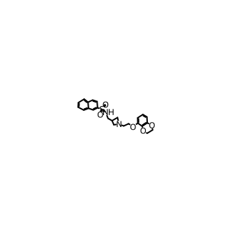 O=S(=O)(NCC1CN(CCOc2cccc3c2OCCO3)C1)c1ccc2ccccc2c1